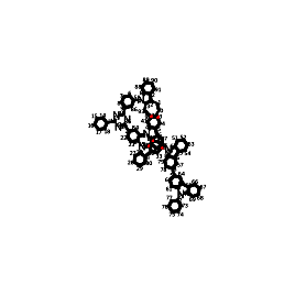 C1=Cc2c(n(-c3cccc(-c4nc(-c5ccccc5)nc(-c5ccc(-n6c7ccccc7c7ccccc76)c(-n6c7ccccc7c7cc(-n8c9ccccc9c9cc(-c%10ccc%11c(c%10)c%10ccccc%10n%11-c%10ccccc%10)ccc98)ccc76)c5)n4)c3)c3ccccc23)C=CC1